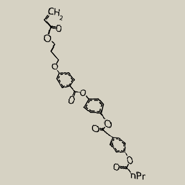 C=CC(=O)OCCCOc1ccc(C(=O)Oc2ccc(OC(=O)c3ccc(OC(=O)CCC)cc3)cc2)cc1